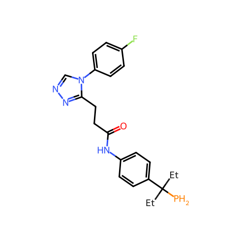 CCC(P)(CC)c1ccc(NC(=O)CCc2nncn2-c2ccc(F)cc2)cc1